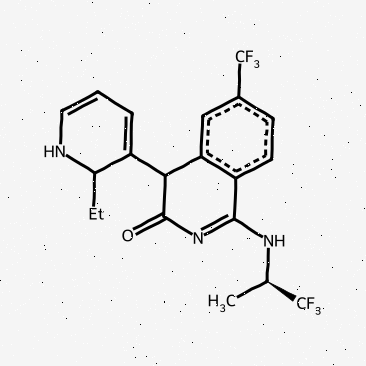 CCC1NC=CC=C1C1C(=O)N=C(N[C@H](C)C(F)(F)F)c2ccc(C(F)(F)F)cc21